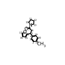 Cc1ccc(C(CC(=O)N2CCCC2)c2ccco2)cc1